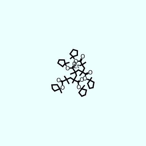 CCC(C)(CC(C)(CC(C)(CC(C)(CC(C)(C)C(=O)OC1(C)CCCC1)C(=O)OC1(C)CCCC1)C(=O)OC1(C)CCCC1)C(=O)OC1(C)CCCC1)C(=O)OC1(C)CCCC1